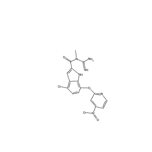 CN(C(=N)N)C(=O)c1cc2c(Cl)ccc(Oc3cc([N+](=O)[O-])ccn3)c2[nH]1